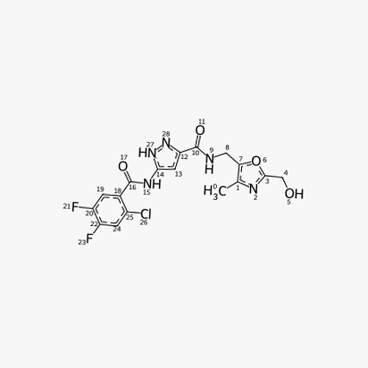 Cc1nc(CO)oc1CNC(=O)c1cc(NC(=O)c2cc(F)c(F)cc2Cl)[nH]n1